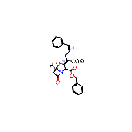 O=C([O-])/C(C/C=C\c1ccccc1)=C1/O[C@@H]2CC(=O)N2C1C(=O)OCc1ccccc1.[K+]